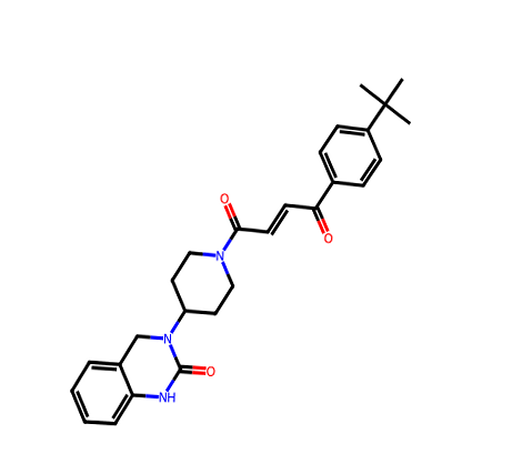 CC(C)(C)c1ccc(C(=O)/C=C/C(=O)N2CCC(N3Cc4ccccc4NC3=O)CC2)cc1